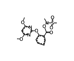 COc1cc(OC)nc(Oc2ccccc2C(=O)ON(C)S(C)(=O)=O)n1